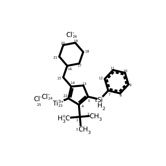 CC(C)(C)C1=C([SiH2]c2ccccc2)CC(CC2CCCCC2)=[C]1[Ti+3].[Cl-].[Cl-].[Cl-]